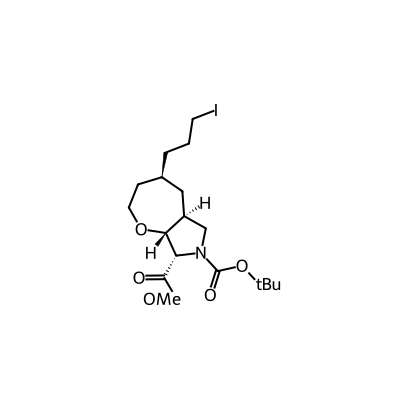 COC(=O)[C@@H]1[C@@H]2OCC[C@@H](CCCI)C[C@H]2CN1C(=O)OC(C)(C)C